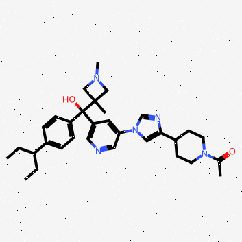 CCC(CC)c1ccc(C(O)(c2cncc(-n3cnc(C4CCN(C(C)=O)CC4)c3)c2)C2(C)CN(C)C2)cc1